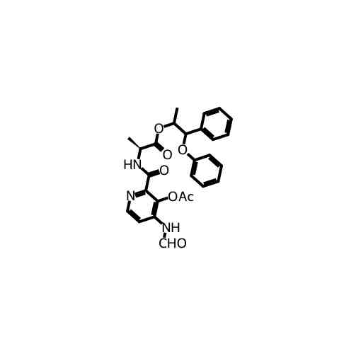 CC(=O)Oc1c(NC=O)ccnc1C(=O)N[C@@H](C)C(=O)OC(C)C(Oc1ccccc1)c1ccccc1